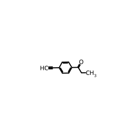 C#Cc1ccc(C(=O)CC)cc1